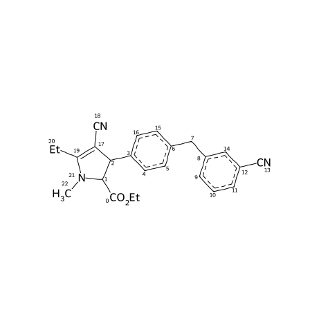 CCOC(=O)C1C(c2ccc(Cc3cccc(C#N)c3)cc2)C(C#N)=C(CC)N1C